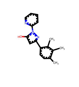 Cc1ccc(-c2cc(O)n(-c3ccccn3)n2)c(C)c1C